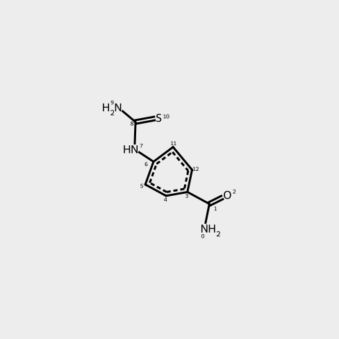 NC(=O)c1ccc(NC(N)=S)cc1